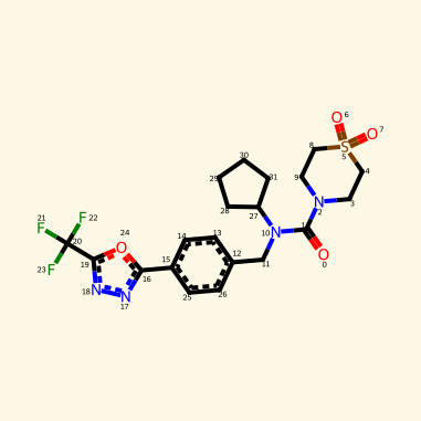 O=C(N1CCS(=O)(=O)CC1)N(Cc1ccc(-c2nnc(C(F)(F)F)o2)cc1)C1CCCC1